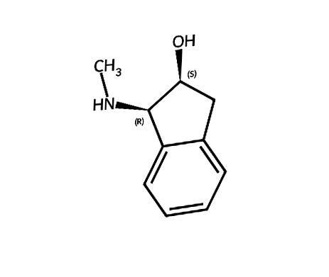 CN[C@@H]1c2ccccc2C[C@@H]1O